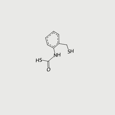 O=C(S)Nc1ccccc1CS